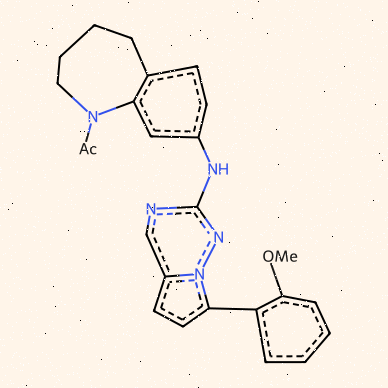 COc1ccccc1-c1ccc2cnc(Nc3ccc4c(c3)N(C(C)=O)CCCC4)nn12